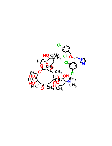 CC[C@H]1OC(=O)[C@H](C)[C@@H](O[C@H]2C[C@@](C)(OC)[C@@H](O)[C@H](C)O2)[C@H](C)[C@@H](O[C@@H]2O[C@H](C)C[C@H](N(C)C)[C@H]2O)[C@](C)(O)C[C@@H](C)C(=O)[C@H](C)[C@@H](O)[C@]1(C)O.Clc1ccc(COC(Cn2ccnc2)c2ccc(Cl)cc2Cl)c(Cl)c1